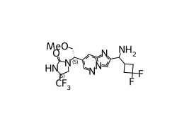 COC[C@H](c1cnn2cc(C(N)C3CC(F)(F)C3)nc2c1)N1C[C@@H](C(F)(F)F)NC1=O